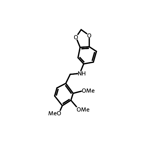 COc1ccc(CNc2ccc3c(c2)OCO3)c(OC)c1OC